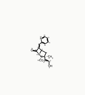 C[C@@]1(/C=N/O)CC2/C(=C\c3ccccn3)C(=O)N2[C@H]1C(=O)O